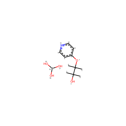 CC(C)(O)C(C)(C)Oc1ccncc1.OB(O)O